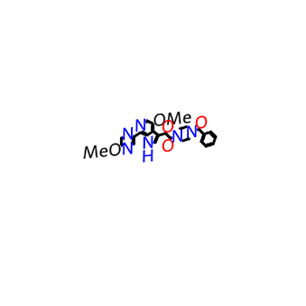 COc1cnc(-c2ncc(OC)c3c(C(=O)C(=O)N4CCN(C(=O)c5ccccc5)CC4)c[nH]c23)cn1